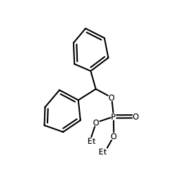 CCOP(=O)(OCC)OC(c1ccccc1)c1ccccc1